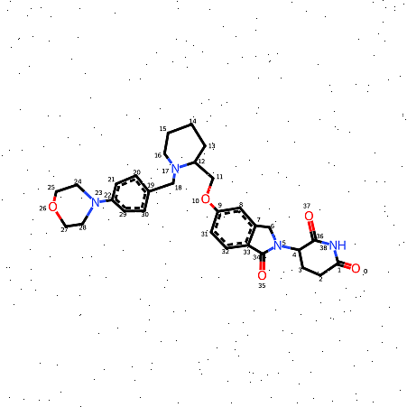 O=C1CCC(N2Cc3cc(OCC4CCCCN4Cc4ccc(N5CCOCC5)cc4)ccc3C2=O)C(=O)N1